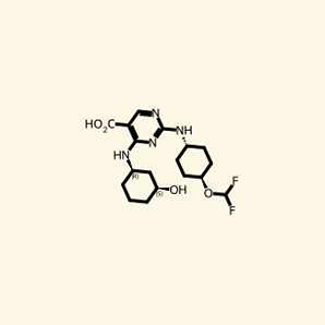 O=C(O)c1cnc(N[C@H]2CC[C@H](OC(F)F)CC2)nc1N[C@@H]1CCC[C@H](O)C1